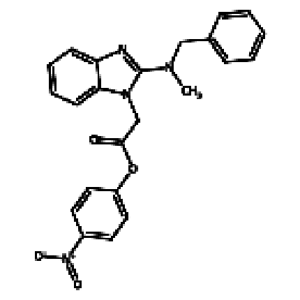 CN(Cc1ccccc1)c1nc2ccccc2n1CC(=O)Oc1ccc([N+](=O)[O-])cc1